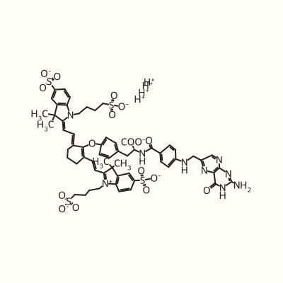 CC1(C)C(/C=C/C2=C(Oc3ccc(C[C@H](NC(=O)c4ccc(NCc5cnc6nc(N)[nH]c(=O)c6n5)cc4)C(=O)[O-])cc3)C(=C/C=C3\N(CCCCS(=O)(=O)[O-])c4ccc(S(=O)(=O)[O-])cc4C3(C)C)/CCC2)=[N+](CCCCS(=O)(=O)[O-])c2ccc(S(=O)(=O)[O-])cc21.[H+].[H+].[H+].[H+]